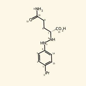 CC(C)c1ccc(NN[C@H](CCC(N)=O)C(=O)O)cc1